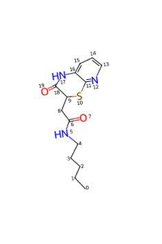 CCCCCNC(=O)CC1Sc2ncccc2NC1=O